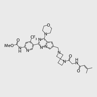 COC(=O)Nc1cc(C(F)(F)F)c(-c2nc(N3CCOCC3)c3cc(CN4CC5(CCN5C(=O)CNC(=O)C=C(C)C)C4)cn3n2)cn1